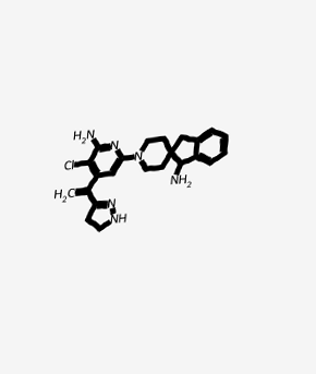 C=C(C1=NNCC1)c1cc(N2CCC3(CC2)Cc2ccccc2C3N)nc(N)c1Cl